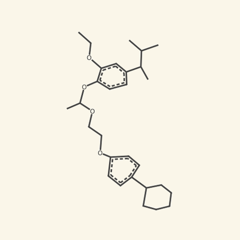 CCOc1cc(C(C)C(C)C)ccc1OC(C)OCCOc1ccc(C2CCCCC2)cc1